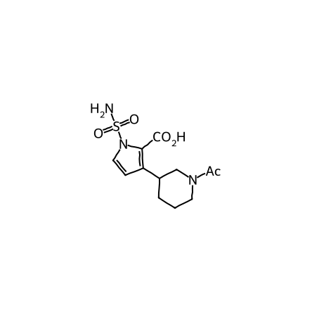 CC(=O)N1CCCC(c2ccn(S(N)(=O)=O)c2C(=O)O)C1